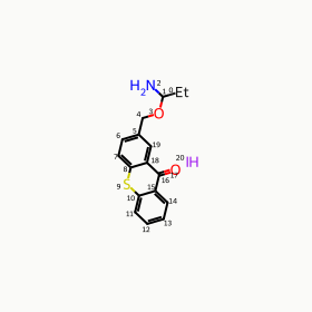 CCC(N)OCc1ccc2sc3ccccc3c(=O)c2c1.I